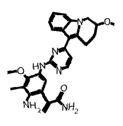 C=C(C(N)=O)c1cc(Nc2nccc(-c3c4n(c5ccccc35)CC(OC)CC4)n2)c(OC)c(C)c1N